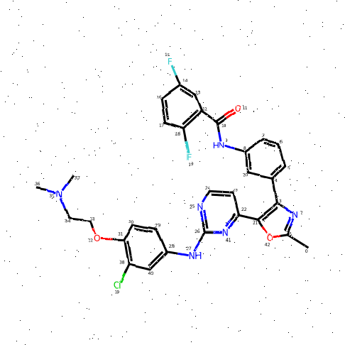 Cc1nc(-c2cccc(NC(=O)c3cc(F)ccc3F)c2)c(-c2ccnc(Nc3ccc(OCCN(C)C)c(Cl)c3)n2)o1